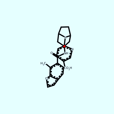 Cc1c(C(=O)NC2CC3CCC(C2)N3c2ccc(C(=O)O)cn2)ccc2ccoc12